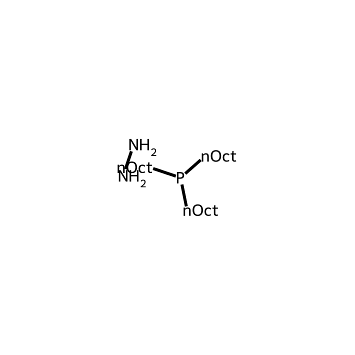 CCCCCCCCP(CCCCCCCC)CCCCCCCC.NN